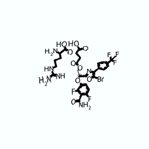 N=C(N)NCCCC(N)C(=O)O.NC(=O)c1c(F)ccc(O[C@H](COC(=O)CCC(=O)O)c2nc(-c3ccc(C(F)(F)F)cc3)c(Br)o2)c1F